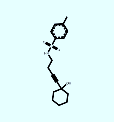 Cc1ccc(S(=O)(=O)NCCC#CC2(O)CCCCC2)cc1